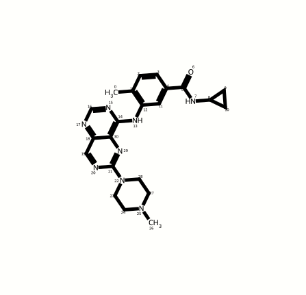 Cc1ccc(C(=O)NC2CC2)cc1Nc1ncnc2cnc(N3CCN(C)CC3)nc12